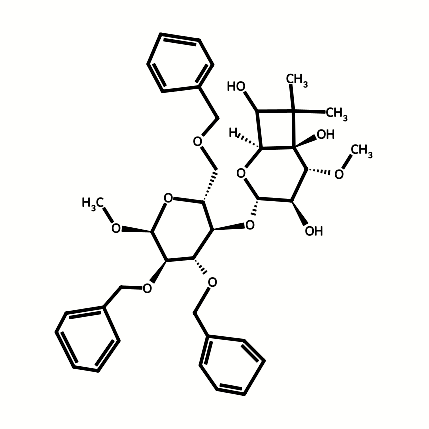 CO[C@H]1O[C@H](COCc2ccccc2)[C@@H](O[C@@H]2O[C@H]3C(O)C(C)(C)[C@]3(O)[C@H](OC)[C@H]2O)[C@H](OCc2ccccc2)[C@H]1OCc1ccccc1